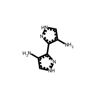 Nc1c[nH]nc1-c1n[nH]cc1N